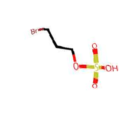 O=S(=O)(O)OCCCBr